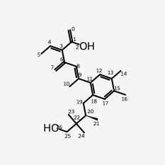 C=C(O)/C(=C/C)C(=C)/C=C(\C)c1cc(C)c(C)cc1C[C@@H](C)C(C)(C)CO